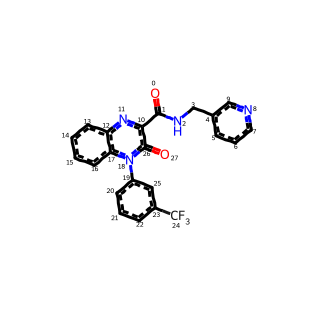 O=C(NCc1cccnc1)c1nc2ccccc2n(-c2cccc(C(F)(F)F)c2)c1=O